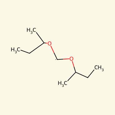 CCC(C)O[CH]OC(C)CC